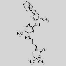 Cc1nn(C2CC3CCC(C2)N3C)cc1Nc1ncc(C(F)(F)F)c(NCCCN2CCC(C)(C)OC2=O)n1